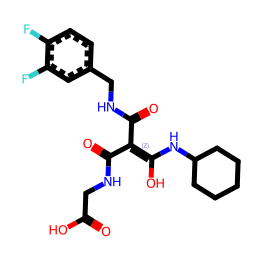 O=C(O)CNC(=O)/C(C(=O)NCc1ccc(F)c(F)c1)=C(\O)NC1CCCCC1